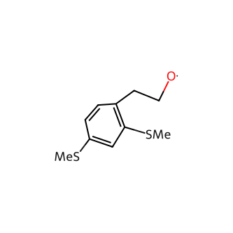 CSc1ccc(CC[O])c(SC)c1